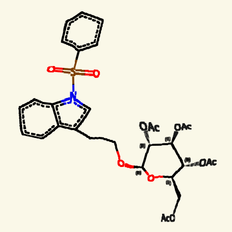 CC(=O)OC[C@H]1O[C@@H](OCCc2cn(S(=O)(=O)c3ccccc3)c3ccccc23)[C@H](OC(C)=O)[C@@H](OC(C)=O)[C@@H]1OC(C)=O